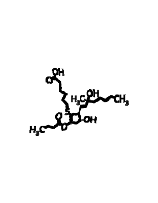 CCCCC[C@](C)(O)/C=C/[C@@H]1C(SCCCCCC(=O)O)=C(OC(=O)CCC)C[C@H]1O